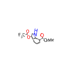 COC(=O)c1cccc2c(OC(=O)C(F)(F)F)c[nH]c12